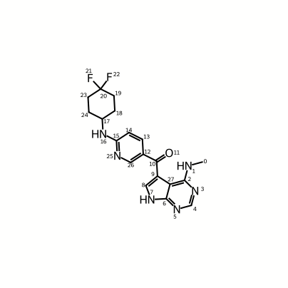 CNc1ncnc2[nH]cc(C(=O)c3ccc(NC4CCC(F)(F)CC4)nc3)c12